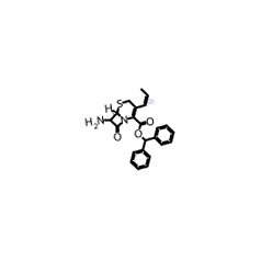 C/C=C\C1=C(C(=O)OC(c2ccccc2)c2ccccc2)N2C(=O)C(N)[C@@H]2SC1